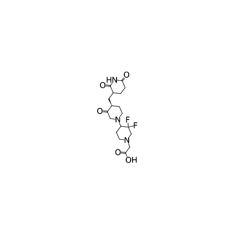 O=C(O)CN1CCC(N2CC[C@H](CC3CCC(=O)NC3=O)C(=O)C2)C(F)(F)C1